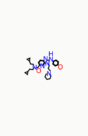 COc1ccc(Nc2nc3ccc(C(=O)N(CCC4CC4)CCC4CC4)nc3n2CCCN2CCCCC2)cc1